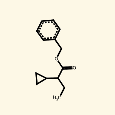 CCC(C(=O)OCc1ccccc1)C1CC1